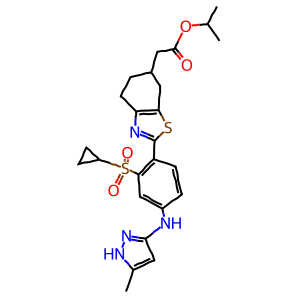 Cc1cc(Nc2ccc(-c3nc4c(s3)CC(CC(=O)OC(C)C)CC4)c(S(=O)(=O)C3CC3)c2)n[nH]1